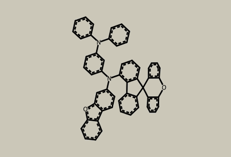 c1ccc(N(c2ccccc2)c2cccc(N(c3ccc4c(c3)oc3ccccc34)c3cccc4c3-c3ccccc3C43c4ccccc4Oc4ccccc43)c2)cc1